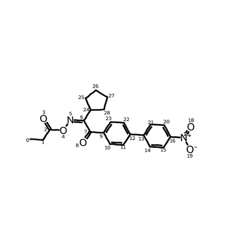 CCC(=O)O/N=C(\C(=O)c1ccc(-c2ccc([N+](=O)[O-])cc2)cc1)C1CCCC1